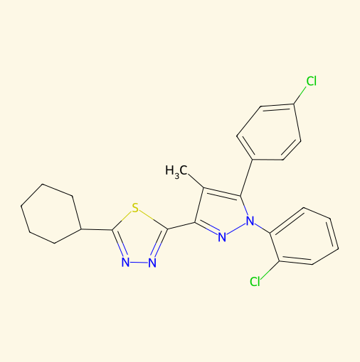 Cc1c(-c2nnc(C3CCCCC3)s2)nn(-c2ccccc2Cl)c1-c1ccc(Cl)cc1